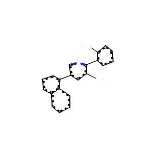 Cc1ccccc1-c1ncc(-c2cccc3ccccc23)cc1C#N